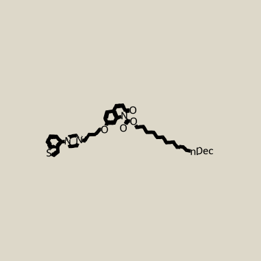 CCCCCCCCCCCCCCCCCCCCCOC(=O)n1c(=O)ccc2ccc(OCCCCN3CCN(c4cccc5sccc45)CC3)cc21